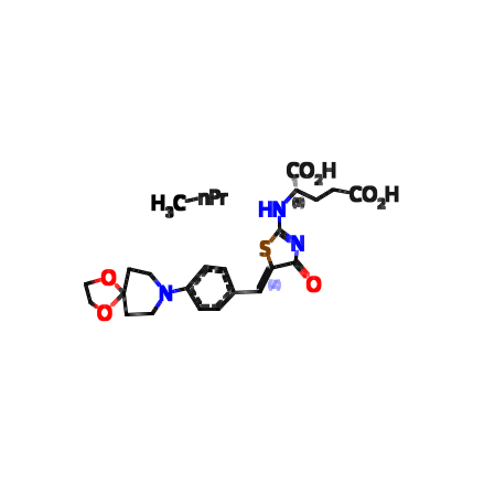 CCCC.O=C(O)CC[C@H](NC1=NC(=O)/C(=C/c2ccc(N3CCC4(CC3)OCCO4)cc2)S1)C(=O)O